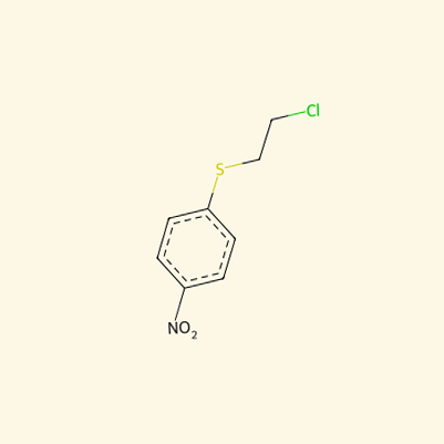 O=[N+]([O-])c1ccc(SCCCl)cc1